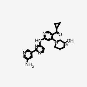 Nc1cncc(-c2nccc(Nc3cc(N4CCC[C@H](O)C4)c(C(=O)C4CC4)cn3)n2)c1